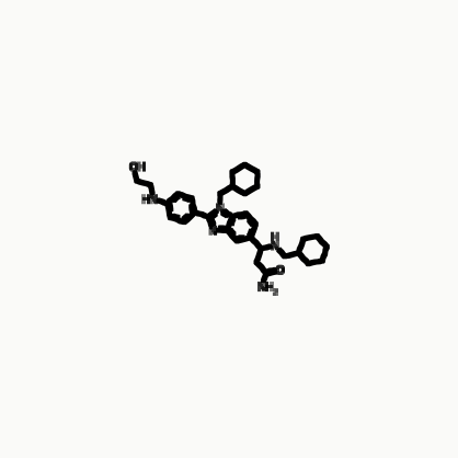 NC(=O)CC(NCC1CCCCC1)c1ccc2c(c1)nc(-c1ccc(NCCO)cc1)n2CC1CCCCC1